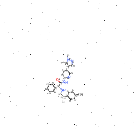 Cc1c(-c2ccc(NC(=O)C(NC[C@@H](C)c3ccc(C#N)cc3)c3ccccc3)nc2)cnn1C